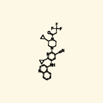 N#Cc1cc(Nc2ccnc3ccccc23)c(C2CC2)nc1N1CCN(C(=O)CC(F)(F)F)C(C2CC2)C1